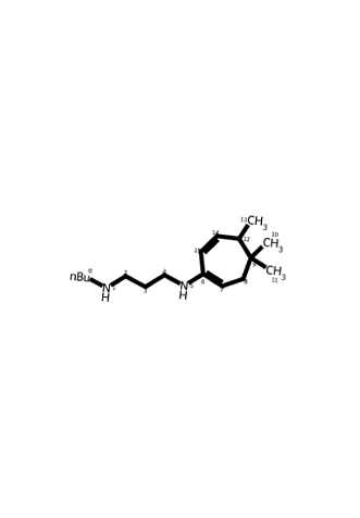 CCCCNCCCNC1=CCC(C)(C)C(C)C=C1